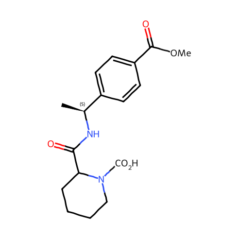 COC(=O)c1ccc([C@H](C)NC(=O)C2CCCCN2C(=O)O)cc1